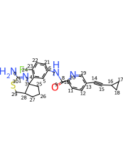 NC1=NC2(c3cc(NC(=O)c4ccc(C#CC5CC5)cn4)ccc3F)CCCC2CS1